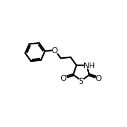 O=C1NC(CCOc2ccccc2)C(=O)S1